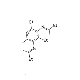 CCC(C)=Nc1c(C)cc(CC)c(N=C(C)CC)c1CC